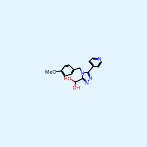 COc1ccc(Cn2c(-c3ccncc3)nnc2C(O)O)cc1